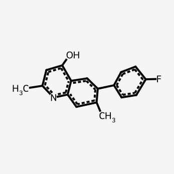 Cc1cc(O)c2cc(-c3ccc(F)cc3)c(C)cc2n1